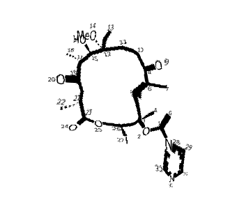 C=C(O[C@@]1(C)/C=C(\C)C(=O)CC[C@@](C)(OC)[C@H](O)[C@@H](C)C(=O)[C@@H](C)C(=O)O[C@@H]1I)n1ccnc1